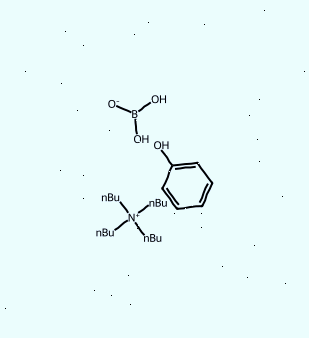 CCCC[N+](CCCC)(CCCC)CCCC.Oc1ccccc1.[O-]B(O)O